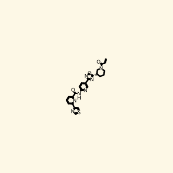 C=CC(=O)N1CCC[C@H](c2nc(-c3ccc(NC(=O)c4cccc(-c5cscn5)n4)nc3)no2)C1